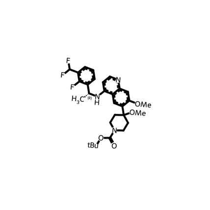 COc1cc2nccc(N[C@H](C)c3cccc(C(F)F)c3F)c2cc1C1(OC)CCN(C(=O)OC(C)(C)C)CC1